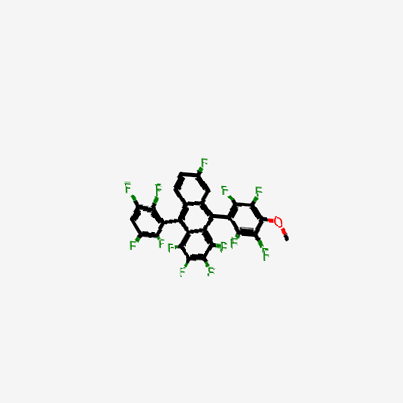 COc1c(F)c(F)c(-c2c3cc(F)ccc3c(-c3c(F)c(F)cc(F)c3F)c3c(F)c(F)c(F)c(F)c23)c(F)c1F